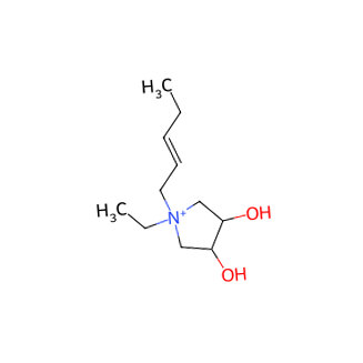 CCC=CC[N+]1(CC)CC(O)C(O)C1